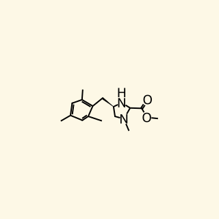 COC(=O)C1N[C@H](Cc2c(C)cc(C)cc2C)CN1C